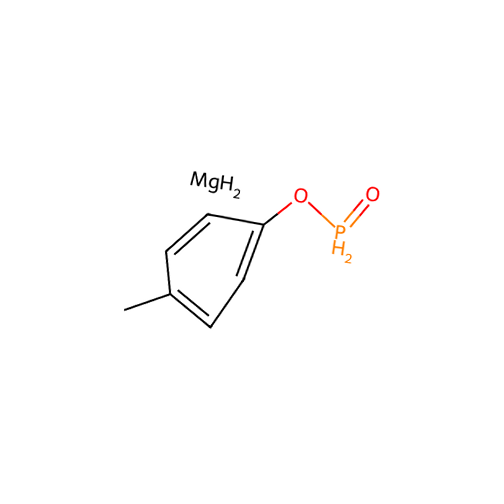 Cc1ccc(O[PH2]=O)cc1.[MgH2]